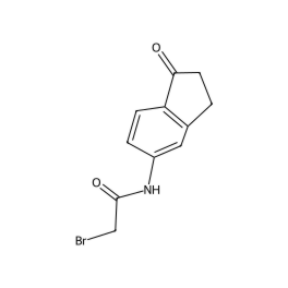 O=C(CBr)Nc1ccc2c(c1)CCC2=O